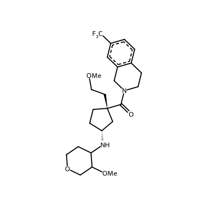 COCC[C@]1(C(=O)N2CCc3ccc(C(F)(F)F)cc3C2)CC[C@@H](NC2CCOCC2OC)C1